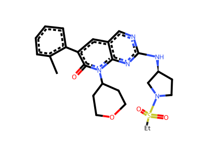 CCS(=O)(=O)N1CC[C@H](Nc2ncc3cc(-c4ccccc4C)c(=O)n(C4CCOCC4)c3n2)C1